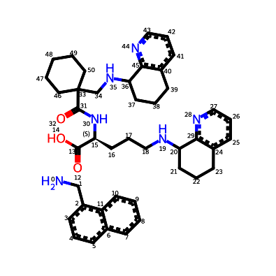 NCc1cccc2ccccc12.O=C(O)[C@H](CCCNC1CCCc2cccnc21)NC(=O)C1(CNC2CCCc3cccnc32)CCCCC1